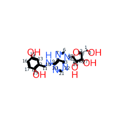 OC[C@H]1O[C@@H](n2cnc3c(NCc4cc(O)ccc4O)ncnc32)[C@@H](O)[C@@H]1O